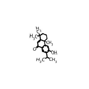 CC(C)c1cc2c(cc1O)[C@@]1(C)CCCC(C)(C)C1=CC2=O